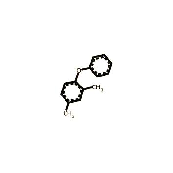 Cc1ccc(Oc2c[c]ccc2)c(C)c1